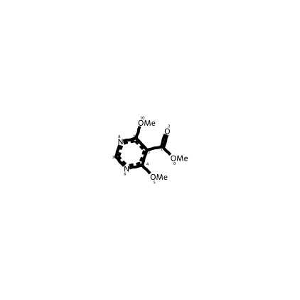 COC(=O)c1c(OC)ncnc1OC